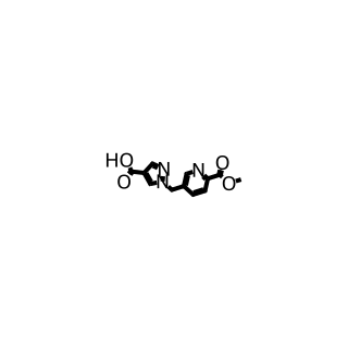 COC(=O)c1ccc(Cn2cc(C(=O)O)cn2)cn1